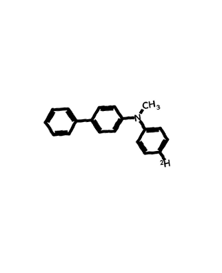 [2H]c1ccc(N(C)c2ccc(-c3ccccc3)cc2)cc1